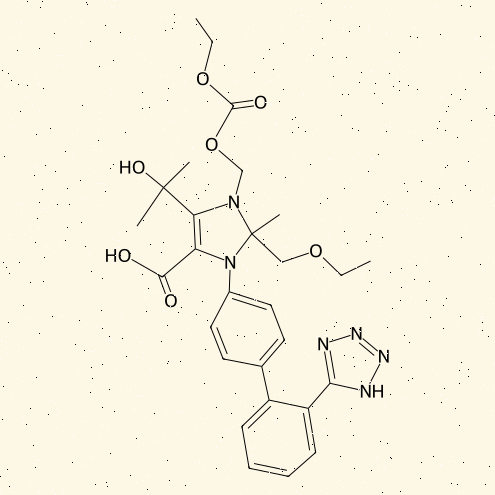 CCOCC1(C)N(COC(=O)OCC)C(C(C)(C)O)=C(C(=O)O)N1c1ccc(-c2ccccc2-c2nnn[nH]2)cc1